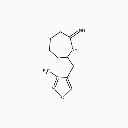 N=C1CCCCC(Cc2conc2C(F)(F)F)N1